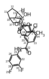 Cc1ccnc([C@H](O)[C@@]2(O)C3CC[C@H]2C[C@H](S(=O)(=O)c2cc(C(=O)Nc4ccc(F)c(F)c4)ccc2Cl)C3)c1